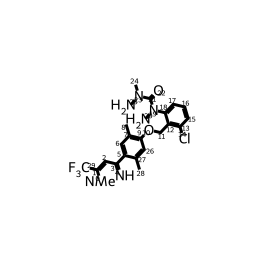 CN/C(=C\C(=N)c1cc(C)c(OCc2c(Cl)cccc2N(N)C(=O)N(C)N)cc1C)C(F)(F)F